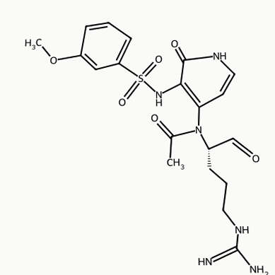 COc1cccc(S(=O)(=O)Nc2c(N(C(C)=O)[C@H](C=O)CCCNC(=N)N)cc[nH]c2=O)c1